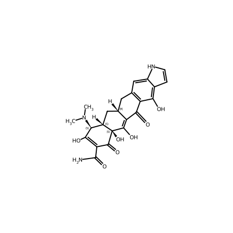 CN(C)[C@@H]1C(O)=C(C(N)=O)C(=O)[C@@]2(O)C(O)=C3C(=O)c4c(cc5[nH]ccc5c4O)C[C@H]3C[C@@H]12